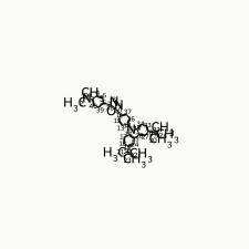 CN(C)c1ccc(-c2nnc(-c3ccc(-n4c5ccc(C(C)(C)C)cc5c5cc(C(C)(C)C)ccc54)cc3)o2)cc1